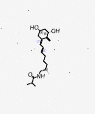 C=C1/C(=C\C=C\CCC[C@H](C)CNC(=O)C(C)C)C[C@@H](O)C[C@@H]1O